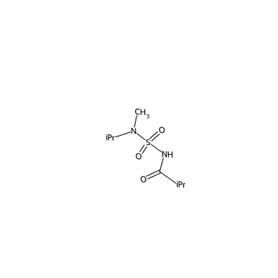 CC(C)C(=O)NS(=O)(=O)N(C)C(C)C